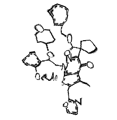 COc1ccccc1C(Cn1nc(C2(C(=O)OCc3ccccc3)CCCC2)c(=O)c2c(C)c(-c3ncco3)sc21)OC1CCOCC1